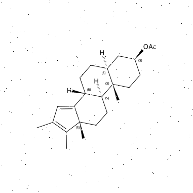 CC(=O)O[C@H]1CC[C@@]2(C)[C@@H](CC[C@H]3C4=CC(C)=C(C)[C@@]4(C)CC[C@@H]32)C1